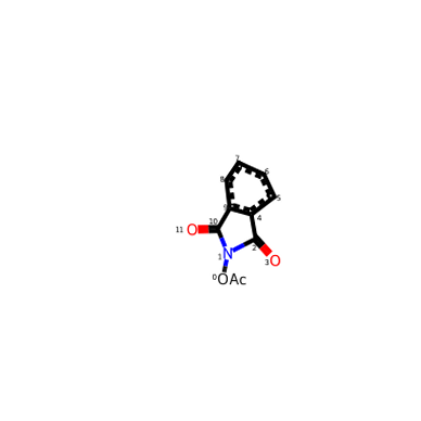 CC(=O)ON1C(=O)c2ccccc2C1=O